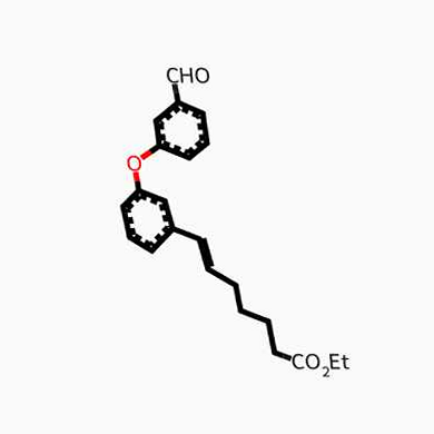 CCOC(=O)CCCC/C=C/c1cccc(Oc2cccc(C=O)c2)c1